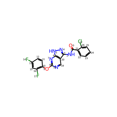 O=C(Nc1n[nH]c2nc(Oc3ccc(F)cc3F)ncc12)c1ccccc1Cl